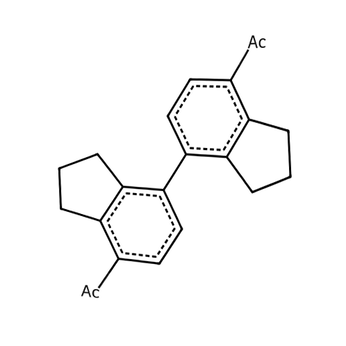 CC(=O)c1ccc(-c2ccc(C(C)=O)c3c2CCC3)c2c1CCC2